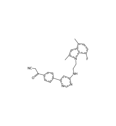 Cc1ccc(F)c2c1cc(C)n2CCNc1cc(-c2ccc(C(=O)CC#N)cc2)ncn1